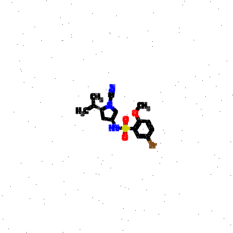 COc1ccc(Br)cc1S(=O)(=O)N[C@@H]1C[C@H](C(C)C)N(C#N)C1